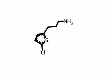 NCCCc1ccc(Cl)s1